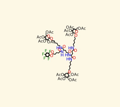 CC(=O)OC[C@@H]1[C@H](COC(C)=O)[C@H](OC(C)=O)[C@@H](OC(C)=O)C[C@H]1OCCCCCCNC(=O)C(CCC(=O)NCCCCCCOC1O[C@H](COC(C)=O)[C@@H](OC(C)=O)[C@H](OC(C)=O)[C@@H]1OC(C)=O)NC(=O)CCC(NC(=O)CCCC(=O)Oc1c(F)c(F)c(F)c(F)c1F)C(=O)NCCCCCCO[C@H]1O[C@H](COC(C)=O)[C@@H](OC(C)=O)[C@H](OC(C)=O)[C@@H]1OC(C)=O